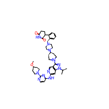 COC1CCN(c2nccc(Nc3cc4c(cn3)c(N3CCC(N5CCN(Cc6ccccc6C6CCC(=O)NC6=O)CC5)CC3)nn4C(C)C)n2)CC1